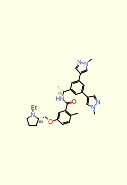 CCN1CCC[C@H]1COc1ccc(C)c(C(=O)N[C@H](C)c2cc(-c3cnn(C)c3)cc(-c3cnn(C)c3)c2)c1